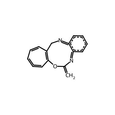 C=C1/N=c2/cccc/c2=N/CC2=C(C=C=CC=C2)O1